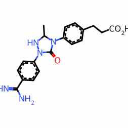 CC1NN(c2ccc(C(=N)N)cc2)C(=O)N1c1ccc(CCC(=O)O)cc1